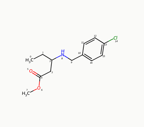 CCC(CC(=O)OC)NCc1ccc(Cl)cc1